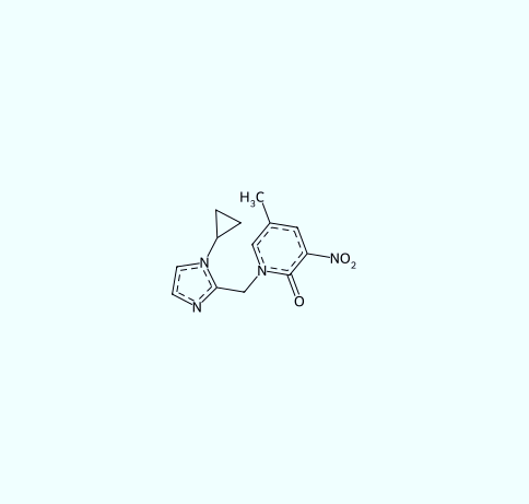 Cc1cc([N+](=O)[O-])c(=O)n(Cc2nccn2C2CC2)c1